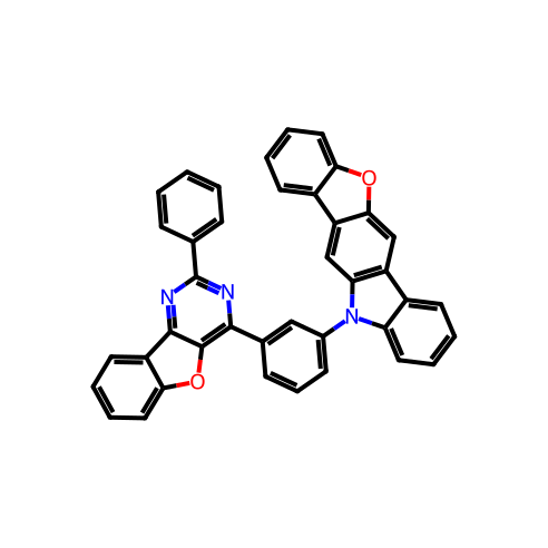 c1ccc(-c2nc(-c3cccc(-n4c5ccccc5c5cc6oc7ccccc7c6cc54)c3)c3oc4ccccc4c3n2)cc1